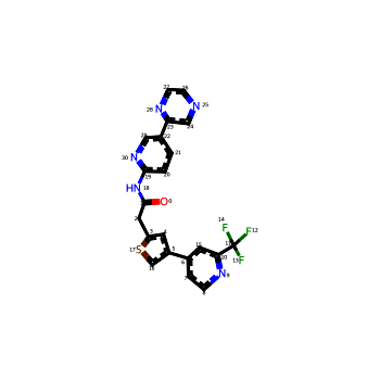 O=C(Cc1cc(-c2ccnc(C(F)(F)F)c2)cs1)Nc1ccc(-c2cnccn2)cn1